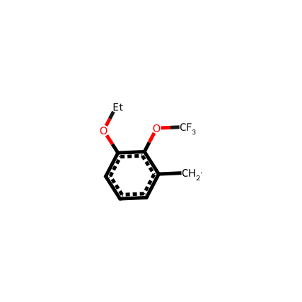 [CH2]c1cccc(OCC)c1OC(F)(F)F